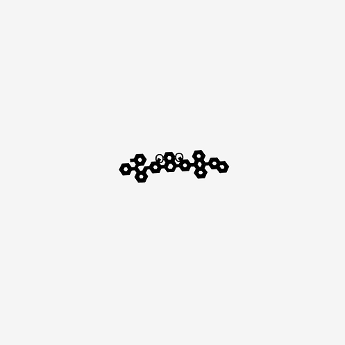 Cc1ccccc1/C(c1ccccc1)=c1/cccc/c1=C\c1ccc2c(c1)Oc1ccc3c4c1=C2CCC=4c1ccc(-c2c4ccccc4c(-c4ccc5ccccc5c4)c4ccccc24)cc1O3